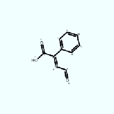 O=[C]/N=C(/C(=O)O)c1ccccc1